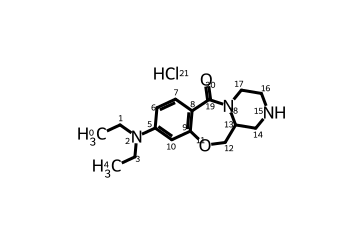 CCN(CC)c1ccc2c(c1)OCC1CNCCN1C2=O.Cl